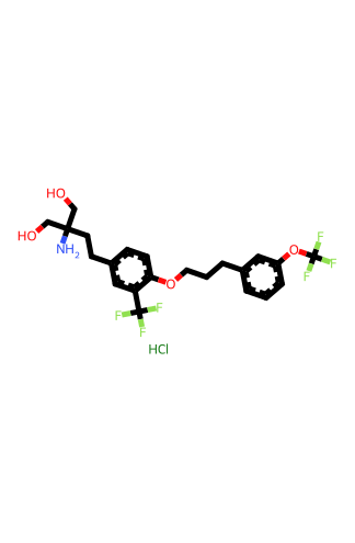 Cl.NC(CO)(CO)CCc1ccc(OCCCc2cccc(OC(F)(F)F)c2)c(C(F)(F)F)c1